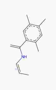 C=C(N/C=C\C)c1cc(C)c(C)cc1C